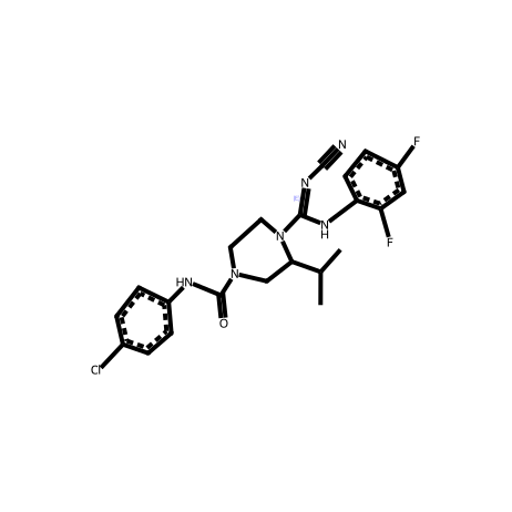 CC(C)C1CN(C(=O)Nc2ccc(Cl)cc2)CCN1/C(=N/C#N)Nc1ccc(F)cc1F